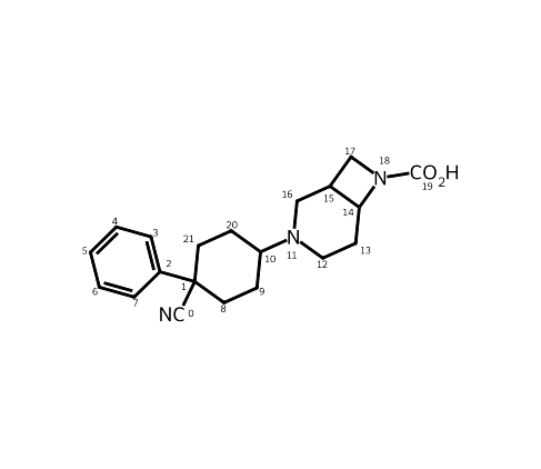 N#CC1(c2ccccc2)CCC(N2CCC3C(C2)CN3C(=O)O)CC1